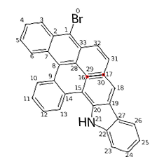 Brc1c2ccccc2c(-c2ccccc2-c2cccc3c2[nH]c2ccccc23)c2ccccc12